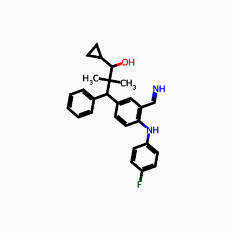 CC(C)(C(c1ccccc1)c1ccc(Nc2ccc(F)cc2)c(C=N)c1)C(O)C1CC1